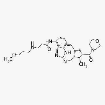 COCCCNCCC(=O)Nc1cccc(NC2=N\CC3=C(/C=C\C/C=N\2)SC(C(=O)N2CCOCC2)[C@H]3C)c1